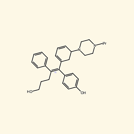 CC(C)N1CCN(C2C=CC=C(/C(=C(/CCCO)c3ccccc3)c3ccc(O)cc3)C2)CC1